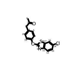 CC(=O)Cc1ccc(Oc2nc3ccc(Cl)cc3s2)cc1